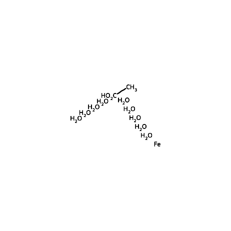 CC(=O)O.O.O.O.O.O.O.O.O.O.[Fe]